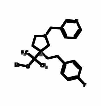 CCOC(C(F)(F)F)(C(F)(F)F)[C@@]1(CCc2ccc(F)cc2)CCN(Cc2cccnc2)C1